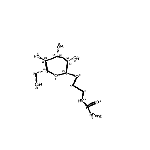 CCCCCC(=O)NCCO[C@H]1O[C@H](CO)[C@@H](O)[C@H](O)[C@@H]1O